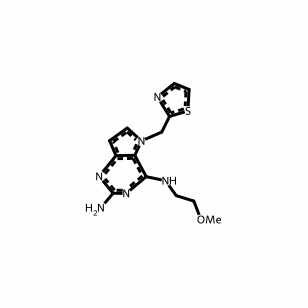 COCCNc1nc(N)nc2ccn(Cc3nccs3)c12